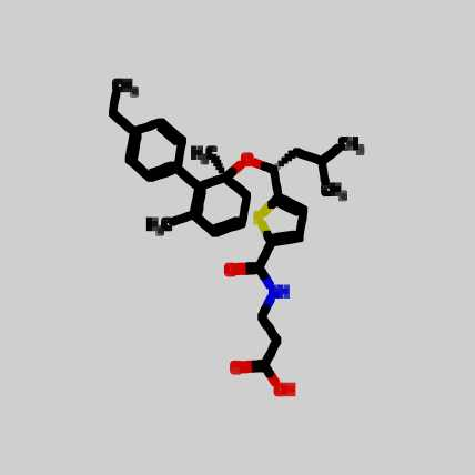 CCc1ccc(C2=C(C)C=CC[C@]2(C)O[C@H](CC(C)C)c2ccc(C(=O)NCCC(=O)O)s2)cc1